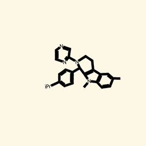 Cc1ccc2c(c1)c1c(n2C)C(c2ccc(C(C)C)cc2)N(c2cnccn2)CC1